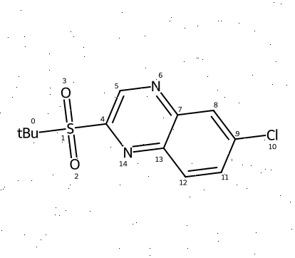 CC(C)(C)S(=O)(=O)c1cnc2cc(Cl)ccc2n1